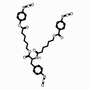 O=C=Nc1ccc(CC(NC(=O)CCCCCOC(=O)c2ccc(N=C=O)cc2)C(=O)OCCCCCC(=O)Oc2ccc(N=C=O)cc2)cc1